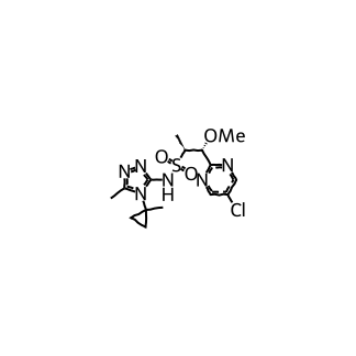 CO[C@H](c1ncc(Cl)cn1)[C@H](C)S(=O)(=O)Nc1nnc(C)n1C1(C)CC1